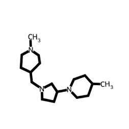 CC1CCN(C2CCN(CC3CCN(C)CC3)C2)CC1